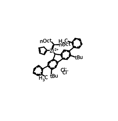 CCCCCCCC[C](CCCCCCCC)=[Zr+2]([C]1=CC=CC1)[CH]1c2cc(-c3ccccc3C)c(C(C)(C)C)cc2-c2cc(C(C)(C)C)c(-c3ccccc3C)cc21.[Cl-].[Cl-]